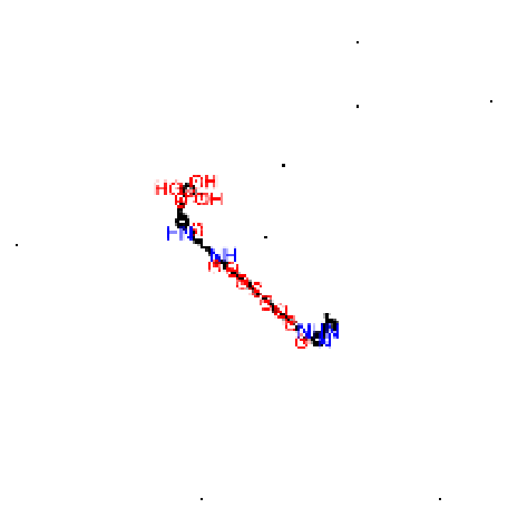 Cc1ccnc(-c2cc(C(=O)NCCOCCOCCOCCOCCOCCOCCC(=O)NCCCCCC(=O)Nc3ccc(CCO[C@@H]4O[C@H](CO)[C@@H](O)C[C@H]4O)cc3)ccn2)c1